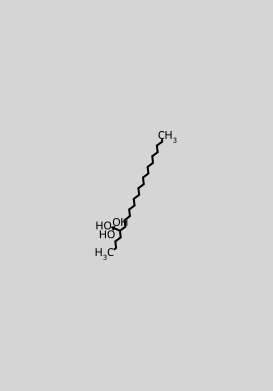 CCCCCCCCCCCCCCCCCCC(CCCC)C(O)(O)O